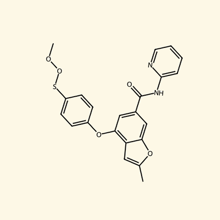 COOSc1ccc(Oc2cc(C(=O)Nc3ccccn3)cc3oc(C)cc23)cc1